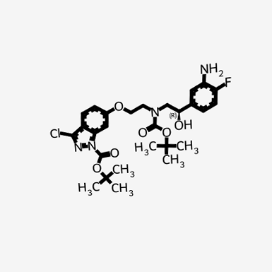 CC(C)(C)OC(=O)N(CCOc1ccc2c(Cl)nn(C(=O)OC(C)(C)C)c2c1)C[C@H](O)c1ccc(F)c(N)c1